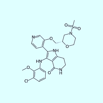 COc1c(Cl)cccc1Nc1c(-c2ccncc2OC[C@@H]2CN(S(C)(=O)=O)CCO2)[nH]c2c1C(=O)NCC2